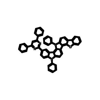 c1ccc(-c2cc(-c3ccccc3)nc(-c3ccc4c(c3)c3c(ccc5c6c7oc8ccccc8c7ccc6n(-c6ccccc6)c53)n4-c3ccccc3)n2)cc1